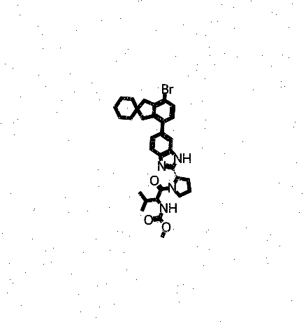 COC(=O)NC(C(=O)N1CCC[C@H]1c1nc2ccc(-c3ccc(Br)c4c3CC3(CCCCC3)C4)cc2[nH]1)C(C)C